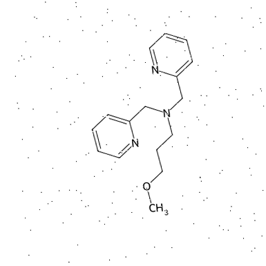 COCCCN(Cc1ccccn1)Cc1ccccn1